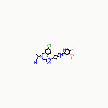 COc1cc(N2CC3(CC(c4nnc5n4-c4ccc(Cl)cc4CN(C(C)C#N)C5)C3)C2)ncc1F